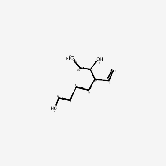 C=CC(CCCCO)C(O)CO